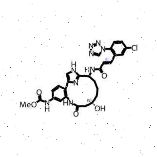 COC(=O)Nc1ccc2c(c1)NC(=O)C[C@@H](O)CCCC(NC(=O)/C=C/c1cc(Cl)ccc1-n1cnnn1)c1nc-2c[nH]1